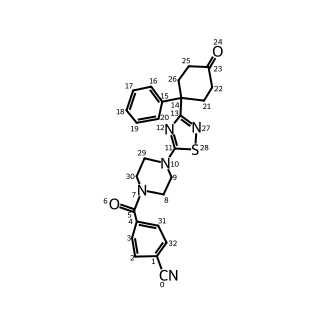 N#Cc1ccc(C(=O)N2CCN(c3nc(C4(c5ccccc5)CCC(=O)CC4)ns3)CC2)cc1